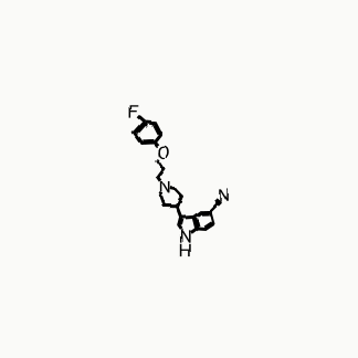 N#Cc1ccc2[nH]cc(C3CCN(CCCOc4ccc(F)cc4)CC3)c2c1